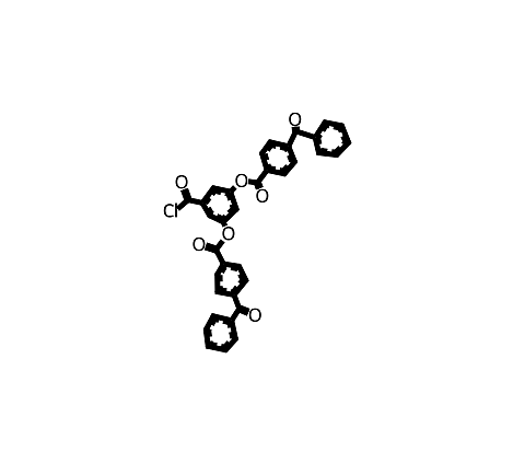 O=C(Cl)c1cc(OC(=O)c2ccc(C(=O)c3ccccc3)cc2)cc(OC(=O)c2ccc(C(=O)c3ccccc3)cc2)c1